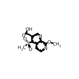 COc1nccc2c(S(C)(=O)=O)c(C(=O)O)cnc12